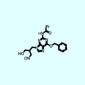 CC(C)C(=O)Nc1nc(OCc2ccccc2)c2ncn(CC(CO)CN=O)c2n1